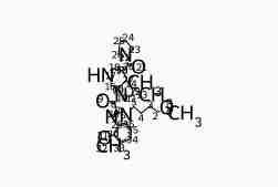 COCCCCn1c(C(=O)N(CC(C)C)[C@@H]2CNC[C@H](C(=O)N3CCCC3)C2)nc2c(OC)cccc21